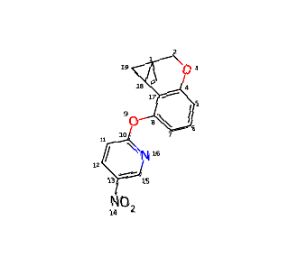 CC12COc3cccc(Oc4ccc([N+](=O)[O-])cn4)c3C1C2